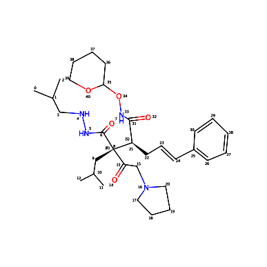 CC(C)CNNC(=O)[C@@](CC(C)C)(C(=O)CN1CCCC1)[C@H](CC=Cc1ccccc1)C(=O)NOC1CCCCO1